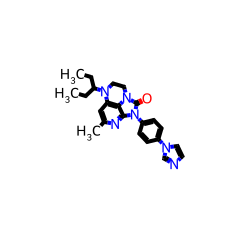 CCC(CC)N1CCn2c(=O)n(-c3ccc(-n4ccnc4)cc3)c3nc(C)cc1c32